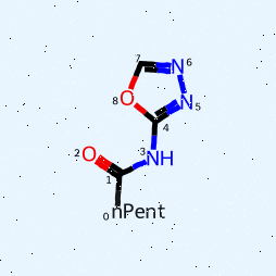 CCCCCC(=O)Nc1nnco1